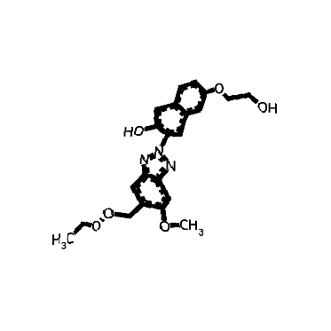 CCOOCc1cc2nn(-c3cc4cc(OCCO)ccc4cc3O)nc2cc1OC